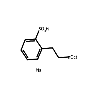 CCCCCCCCCCc1ccccc1S(=O)(=O)O.[Na]